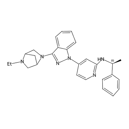 CCN1CC2CC1CN2c1nn(-c2ccnc(N[C@@H](C)c3ccccc3)c2)c2ccccc12